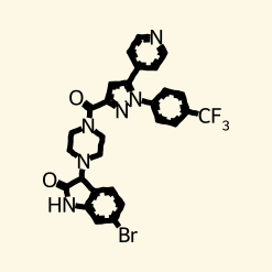 O=C1Nc2cc(Br)ccc2C1N1CCN(C(=O)c2cc(-c3ccncc3)n(-c3ccc(C(F)(F)F)cc3)n2)CC1